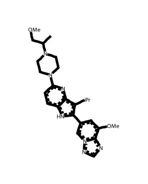 COCC(C)N1CCN(c2ccc3[nH]c(-c4cc(OC)c5ncnn5c4)c(C(C)C)c3n2)CC1